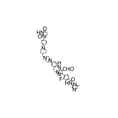 Cc1cncc(NC(=O)c2ccc(-c3nn4c(c3C=O)Nc3ccc(N5CCN(CC6CCN(c7ccc(N8CCC(=O)NC8=O)cc7)CC6)CC5)cc3CC4)c(F)c2C)n1